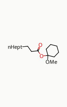 CCCCCCCCCC(=O)OC1(OC)CCCCC1